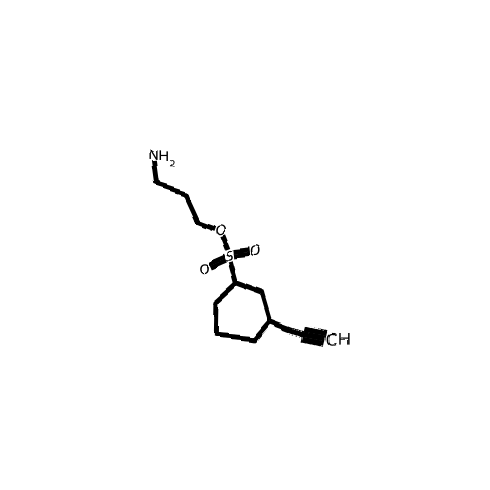 C#CC1CCCC(S(=O)(=O)OCCCN)C1